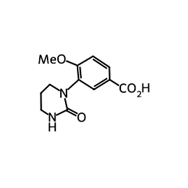 COc1ccc(C(=O)O)cc1N1CCCNC1=O